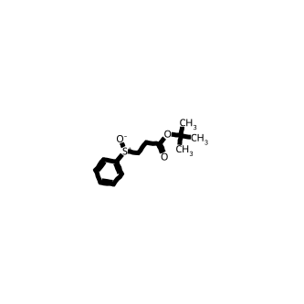 CC(C)(C)OC(=O)CC[S+]([O-])c1ccccc1